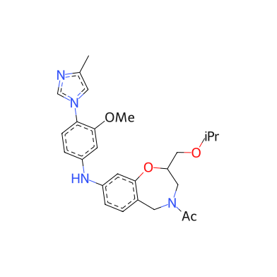 COc1cc(Nc2ccc3c(c2)OC(COC(C)C)CN(C(C)=O)C3)ccc1-n1cnc(C)c1